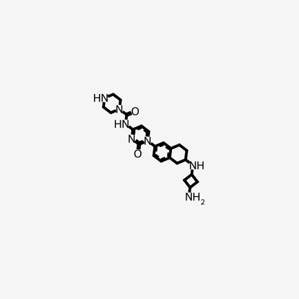 NC1CC(NC2CCc3cc(-n4ccc(NC(=O)N5CCNCC5)nc4=O)ccc3C2)C1